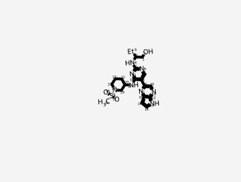 CCC(CO)Nc1ncc(-c2cnc3[nH]ccc3n2)c(NC2CCCN(S(C)(=O)=O)C2)n1